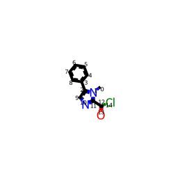 Cn1c(-c2ccccc2)cnc1C(=O)Cl